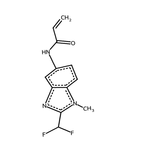 C=CC(=O)Nc1ccc2c(c1)nc(C(F)F)n2C